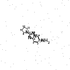 Nc1ccc2nc(N3CCCC3)nn2c1